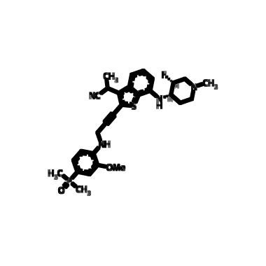 COc1cc(P(C)(C)=O)ccc1NCC#Cc1sc2c(N[C@H]3CCN(C)C[C@H]3F)cccc2c1C(C)C#N